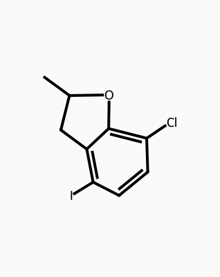 CC1Cc2c(I)ccc(Cl)c2O1